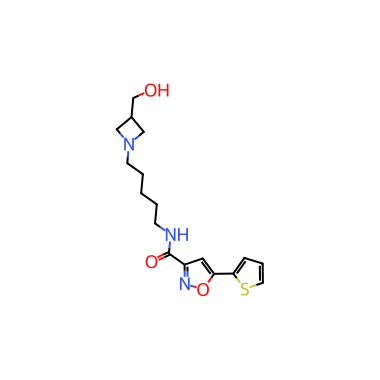 O=C(NCCCCCN1CC(CO)C1)c1cc(-c2cccs2)on1